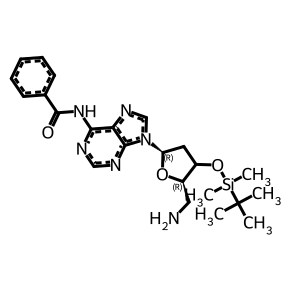 CC(C)(C)[Si](C)(C)OC1C[C@H](n2cnc3c(NC(=O)c4ccccc4)ncnc32)O[C@@H]1CN